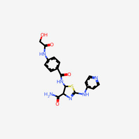 NC(=O)C1N=C(Nc2ccncc2)SC1NC(=O)c1ccc(NC(=O)CO)cc1